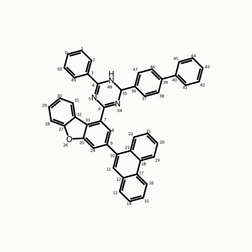 c1ccc(C2=NC(c3cc(-c4cc5ccccc5c5ccccc45)cc4oc5ccccc5c34)=NC(c3ccc(-c4ccccc4)cc3)N2)cc1